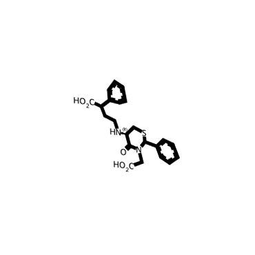 O=C(O)CN1C(=O)[C@@H](NCCC(C(=O)O)c2ccccc2)CSC1c1ccccc1